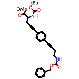 COC(=O)C(CC#Cc1ccc(C#CCCNC(=O)OCc2ccccc2)cc1)NC(=O)OC(C)(C)C